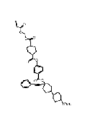 C=CC(=O)OCOC(=O)C1CCC(C(=O)Oc2ccc(C(=O)OC3(C#Cc4ccccc4)CCC(C4CCC(CCCCC)CC4)CC3)cc2)CC1